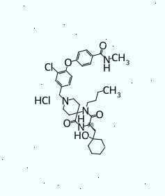 CCCCN1C(=O)[C@@H](CC2(O)CCCCC2)NC(=O)C12CCN(Cc1ccc(Oc3ccc(C(=O)NC)cc3)c(Cl)c1)CC2.Cl